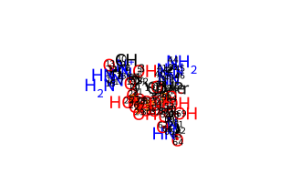 COCC[C@H]1[C@@H](O)[C@H](n2c[n+](C)c3c(=O)[nH]c(N)nc32)O[C@@H]1COP(=O)(O)OP(=O)(O)OP(=O)(O)OCC1O[C@@H](n2cnc3c(N)ncnc32)[C@H](C(C)C)[C@@H]1P(=O)([O-])OC[C@H]1O[C@@H](n2ccc(=O)[nH]c2=O)[C@H](O)[C@@H]1O